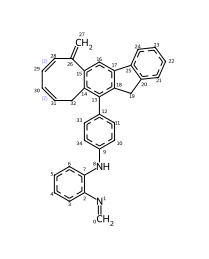 C=Nc1ccccc1Nc1ccc(-c2c3c(cc4c2Cc2ccccc2-4)C(=C)/C=C\C=C/C3)cc1